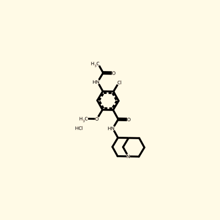 COc1cc(NC(C)=O)c(Cl)cc1C(=O)NC1CCN2CCCC1C2.Cl